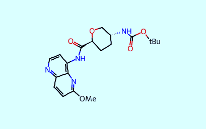 COc1ccc2nccc(NC(=O)[C@@H]3CC[C@@H](NC(=O)OC(C)(C)C)CO3)c2n1